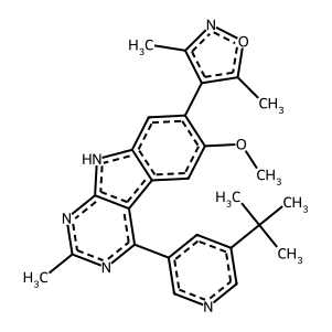 COc1cc2c(cc1-c1c(C)noc1C)[nH]c1nc(C)nc(-c3cncc(C(C)(C)C)c3)c12